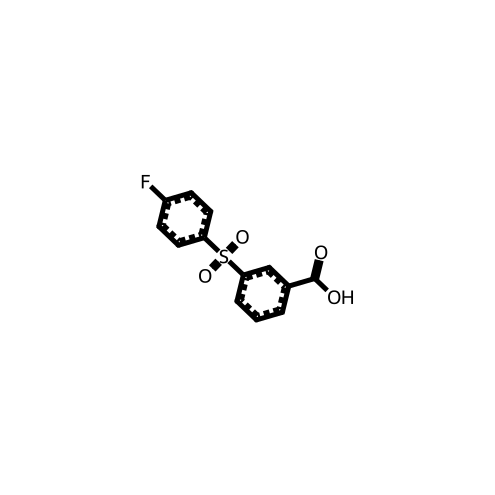 O=C(O)c1cccc(S(=O)(=O)c2ccc(F)cc2)c1